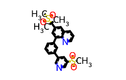 CC(C)(c1cc(-c2cccc(-c3cncc(S(C)(=O)=O)c3)c2)c2ncccc2c1)S(C)(=O)=O